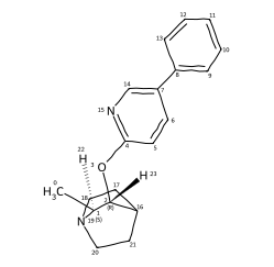 C[C@H]1[C@H](Oc2ccc(-c3ccccc3)cn2)C2CCN1CC2